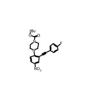 CC(C)(C)OC(=O)N1CCN(c2ccc([N+](=O)[O-])cc2C#Cc2ccc(F)cc2)CC1